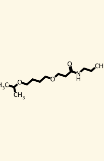 CCCNC(=O)CCOCCCCOC(C)C